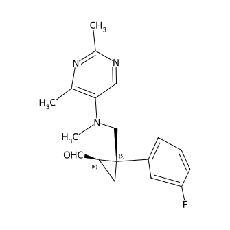 Cc1ncc(N(C)C[C@@]2(c3cccc(F)c3)C[C@H]2C=O)c(C)n1